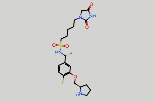 C[C@@H](NS(=O)(=O)CCCCCN1CC(=O)NC1=O)c1ccc(F)c(OC[C@H]2CCCN2)c1